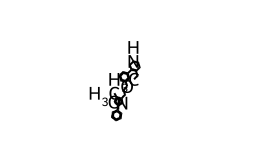 CCC1=C(c2cccc(OCCc3nc(-c4ccccc4)oc3C)c2)CNCC1